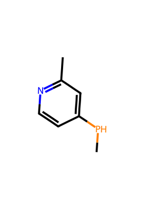 CPc1ccnc(C)c1